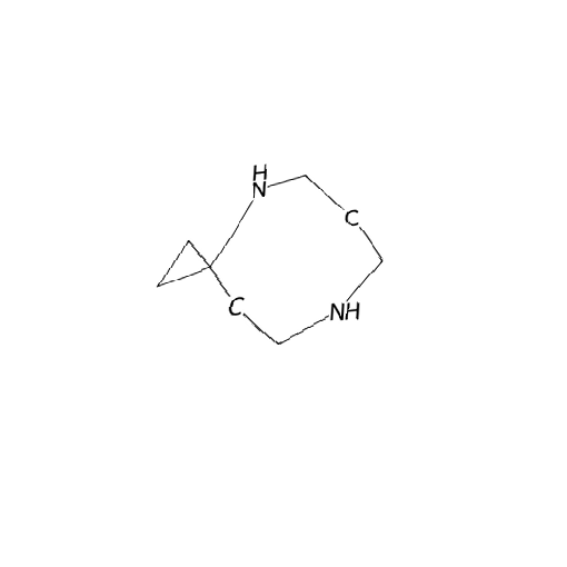 C1CNCCC2(CC2)NC1